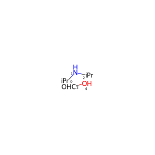 CC(C)NC(C)C.O=CO